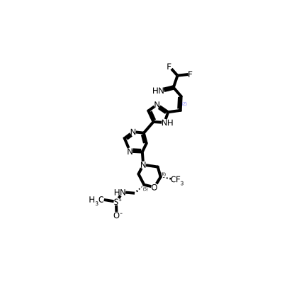 C[S+]([O-])NC[C@@H]1CN(c2cc(-c3cnc(/C=C\C(=N)C(F)F)[nH]3)ncn2)C[C@H](C(F)(F)F)O1